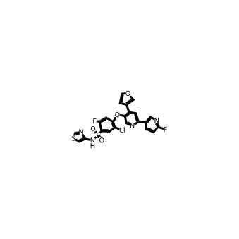 O=S(=O)(Nc1cscn1)c1cc(Cl)c(Oc2cnc(-c3ccc(F)nc3)cc2-c2ccoc2)cc1F